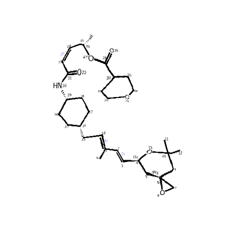 CC(/C=C/[C@@H]1C[C@]2(CO2)CC(C)(C)O1)=C\C[C@H]1CC[C@@H](NC(=O)/C=C\[C@H](C)OC(=O)C2CCOCC2)CC1